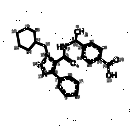 C[C@H](NC(=O)c1c(-c2ccccc2)nnn1CC1CCCCC1)c1ccc(C(=O)O)cc1